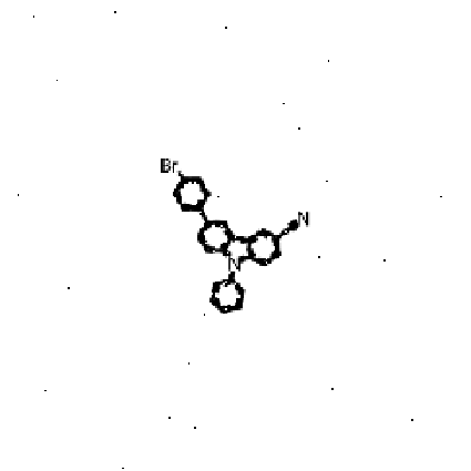 N#Cc1ccc2c(c1)c1cc(-c3ccc(Br)cc3)ccc1n2-c1ccccc1